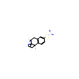 CN(C)S(=O)(=O)c1ccc2c(c1)C[C@H]1NCC[C@]2(C)C1(C)C